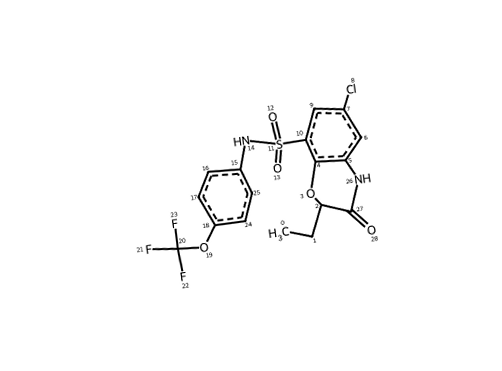 CCC1Oc2c(cc(Cl)cc2S(=O)(=O)Nc2ccc(OC(F)(F)F)cc2)NC1=O